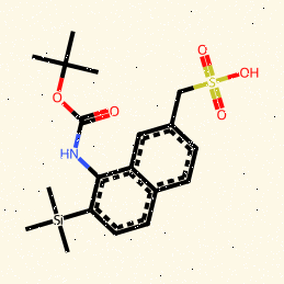 CC(C)(C)OC(=O)Nc1c([Si](C)(C)C)ccc2ccc(CS(=O)(=O)O)cc12